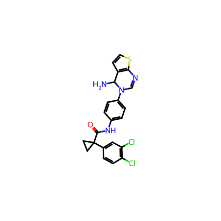 NC1c2ccsc2N=CN1c1ccc(NC(=O)C2(c3ccc(Cl)c(Cl)c3)CC2)cc1